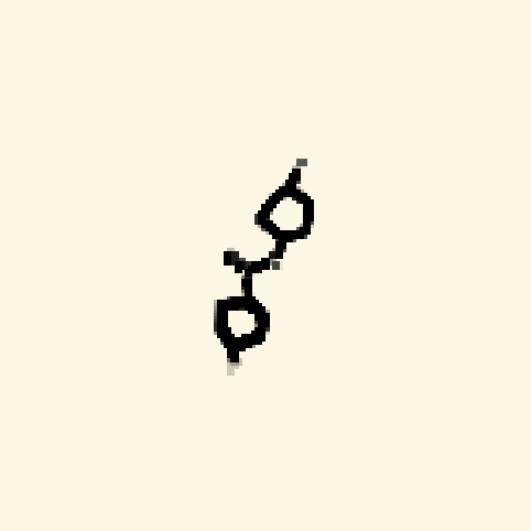 O=S(OC1CCC(F)CC1)c1ccc(F)cc1